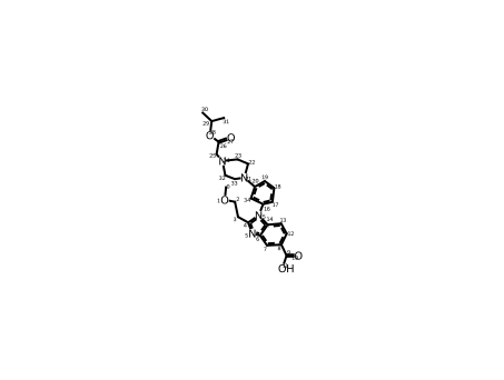 COCCc1nc2cc(C(=O)O)ccc2n1-c1cccc(N2CCN(CC(=O)OC(C)C)CC2)c1